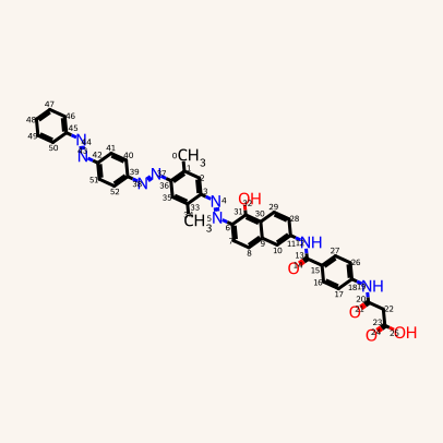 Cc1cc(N=Nc2ccc3cc(NC(=O)c4ccc(NC(=O)CC(=O)O)cc4)ccc3c2O)c(C)cc1N=Nc1ccc(N=Nc2ccccc2)cc1